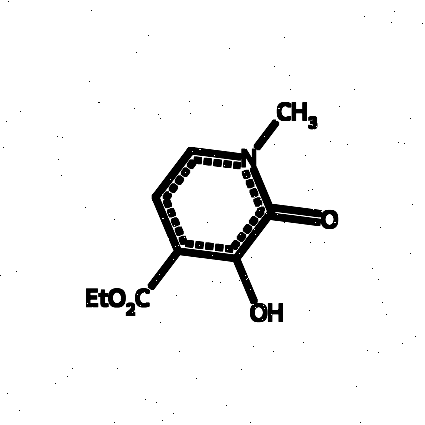 CCOC(=O)c1ccn(C)c(=O)c1O